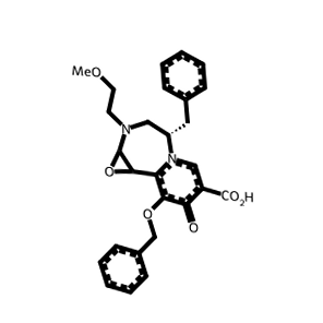 COCCN1C[C@H](Cc2ccccc2)n2cc(C(=O)O)c(=O)c(OCc3ccccc3)c2C2OC21